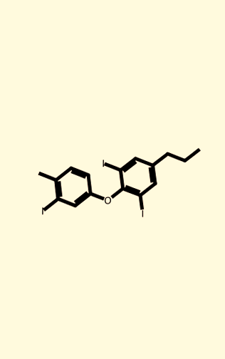 CCCc1cc(I)c(Oc2ccc(C)c(I)c2)c(I)c1